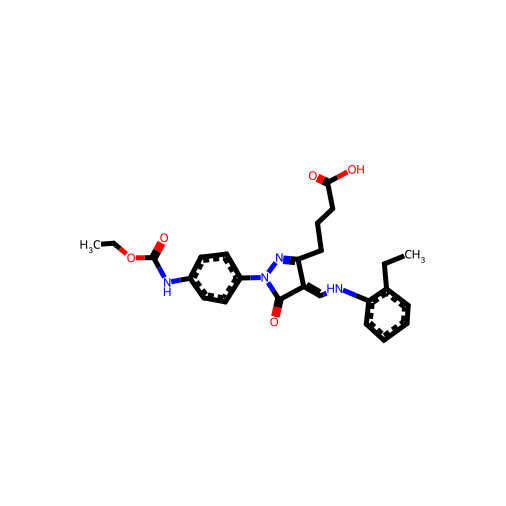 CCOC(=O)Nc1ccc(N2N=C(CCCC(=O)O)/C(=C\Nc3ccccc3CC)C2=O)cc1